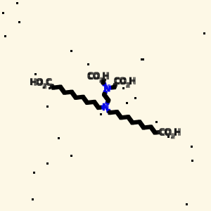 O=C(O)CCCCCCCCCN(CCCCCCCCCC(=O)O)CCN(CC(=O)O)CC(=O)O